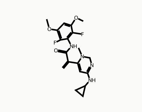 C=C(C(=O)Nc1c(F)c(OC)cc(OC)c1F)C1=CC(NC2CC2)=NCN1C